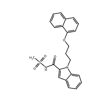 CS(=O)(=O)NC(=O)c1cc2ccccc2n1CCCOc1cccc2ccccc12